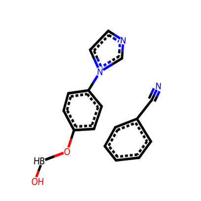 N#Cc1ccccc1.OBOc1ccc(-n2ccnc2)cc1